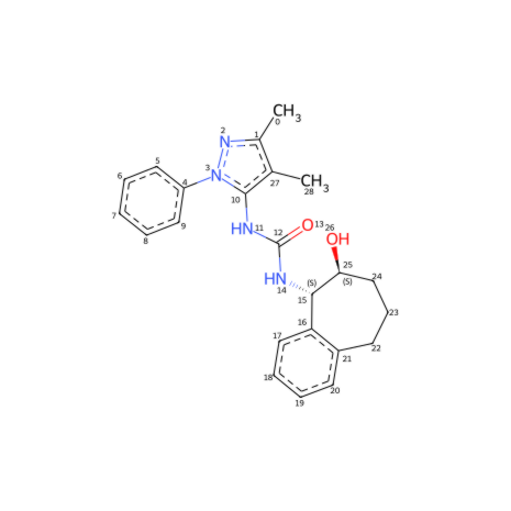 Cc1nn(-c2ccccc2)c(NC(=O)N[C@H]2c3ccccc3CCC[C@@H]2O)c1C